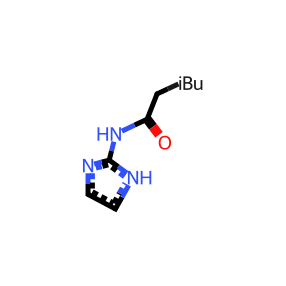 CCC(C)CC(=O)Nc1ncc[nH]1